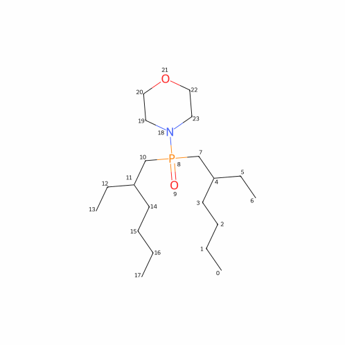 CCCCC(CC)CP(=O)(CC(CC)CCCC)N1CCOCC1